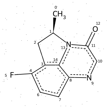 C[C@@H]1Cc2c(F)ccc3ncc(=O)n1c23